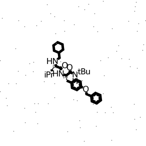 CC(C)C[C@H](NCC1CCCCC1)C(=O)N[C@@H](Cc1ccc(OCc2ccccc2)cc1)C(=O)NC(C)(C)C